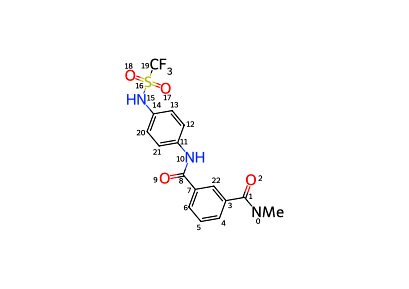 CNC(=O)c1cccc(C(=O)Nc2ccc(NS(=O)(=O)C(F)(F)F)cc2)c1